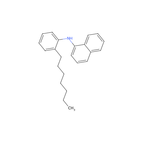 CCCCCCCc1ccccc1Nc1cccc2ccccc12